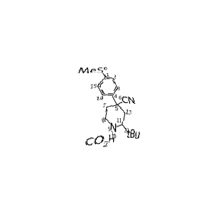 CSc1ccc(C2(C#N)CCN(C(=O)O)C(C(C)(C)C)C2)cc1